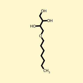 CCCCCCCOCC(O)C(O)CO